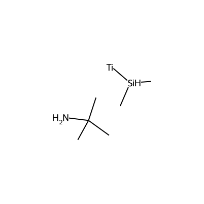 CC(C)(C)N.C[SiH](C)[Ti]